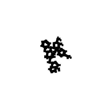 CC(C)CN(C[C@H](O)[C@H](Cc1ccccc1)NC(=O)O[C@H]1CO[C@H]2OCCC21)S(=O)(=O)c1ccc(N)cc1